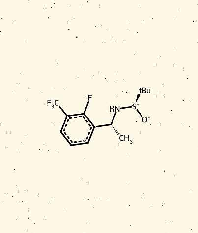 C[C@@H](N[S@+]([O-])C(C)(C)C)c1cccc(C(F)(F)F)c1F